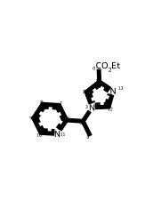 CCOC(=O)c1cn(C(C)c2ccccn2)cn1